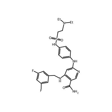 CCN(CC)CCS(=O)(=O)Nc1ccc(Nc2cc(NCc3cc(F)cc(F)c3)c(C(N)=O)cn2)cc1